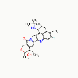 C=C1OCc2c(cc3n(c2=O)Cc2c-3nc3cc(F)c(C)c4c3c2C(NC(C)(C)C)CC4)[C@@]1(O)CC